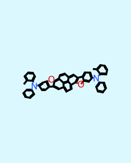 Cc1ccccc1N(c1ccccc1)c1ccc2c(c1)oc1c2cc2ccc3c4oc5cc(N(c6ccccc6)c6ccccc6C)ccc5c4cc4ccc1c2c43